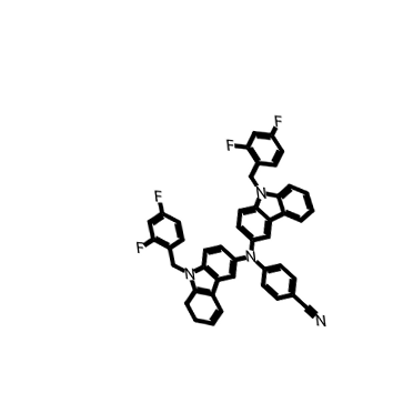 N#Cc1ccc(N(c2ccc3c(c2)c2c(n3Cc3ccc(F)cc3F)CCC=C2)c2ccc3c(c2)c2ccccc2n3Cc2ccc(F)cc2F)cc1